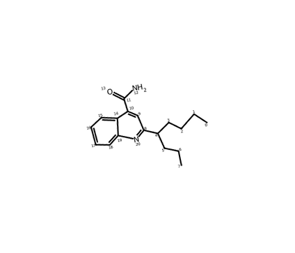 CCCCC(CCC)c1cc(C(N)=O)c2ccccc2n1